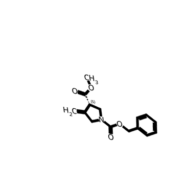 C=C1CN(C(=O)OCc2ccccc2)C[C@H]1C(=O)OC